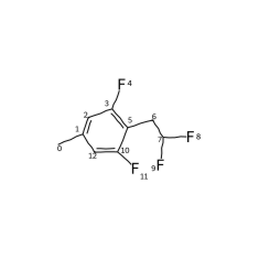 Cc1cc(F)c(CC(F)F)c(F)c1